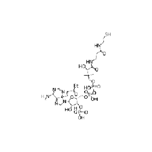 CCC(=O)C=CC12N=CN=C(N)C1=NCN2[C@@H]1O[C@H](COP(=O)(O)OP(=O)(O)OCC(C)(C)C(O)C(=O)NCCC(=O)NCCS)[C@@H](OP(=O)(O)O)[C@H]1O